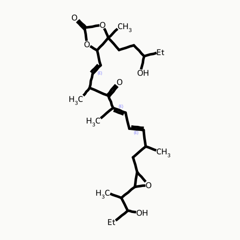 CCC(O)CCC1(C)OC(=O)OC1/C=C/C(C)C(=O)/C(C)=C/C=C/C(C)CC1OC1C(C)C(O)CC